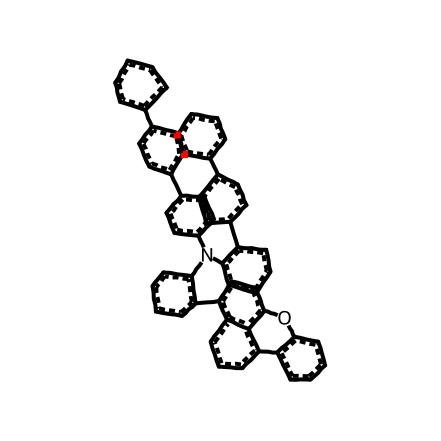 c1ccc(-c2ccc(-c3ccc(N(c4ccccc4-c4ccc(-c5ccccc5)cc4)c4ccccc4-c4ccc5c6c(cccc46)-c4ccccc4O5)cc3)cc2)cc1